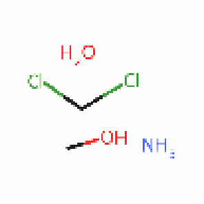 CO.ClCCl.N.O